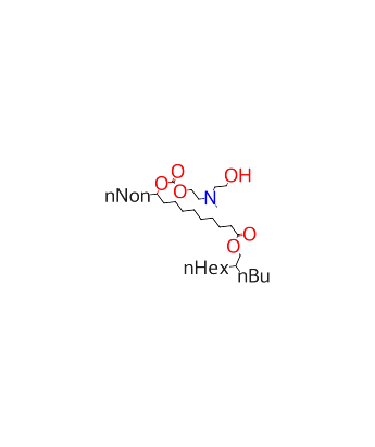 CCCCCCCCCC(CCCCCCCCC(=O)OCC(CCCC)CCCCCC)OC(=O)OCCN(C)CCO